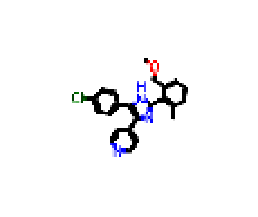 COCc1cccc(C)c1-c1nc(-c2ccncc2)c(-c2ccc(Cl)cc2)[nH]1